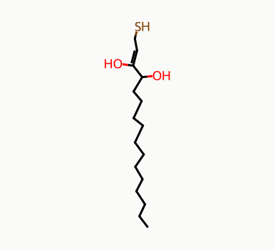 CCCCCCCCCCCCC(O)C(O)=CCS